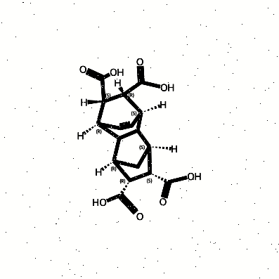 O=C(O)[C@@H]1[C@H](C(=O)O)[C@@H]2C=C[C@H]1C1C2[C@@H]2C[C@H]1[C@@H](C(=O)O)[C@H]2C(=O)O